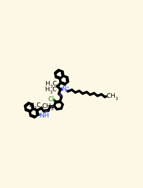 CCCCCCCCCCCC[N+]1=C(/C=C/C2=C(Cl)C(=C/C=C3/Nc4ccc5ccccc5c4C3(C)C)/CCC2)C(C)(C)c2c1ccc1ccccc21